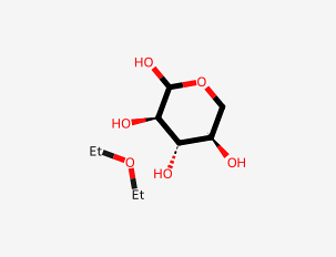 CCOCC.OC1OC[C@@H](O)[C@H](O)[C@H]1O